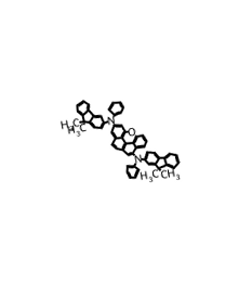 CC1(C)c2ccccc2-c2cc(N(c3ccccc3)c3cc4c5c(ccc6cc(N(c7ccccc7)c7ccc8c(c7)C(C)(C)c7ccccc7-8)c7cccc(c7c65)O4)c3)ccc21